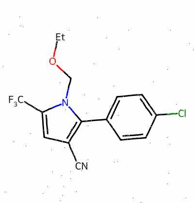 CCOCn1c(C(F)(F)F)cc(C#N)c1-c1ccc(Cl)cc1